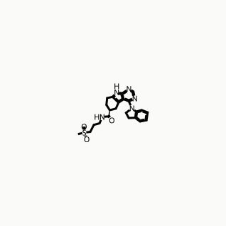 CS(=O)(=O)CCCNC(=O)[C@H]1CCc2[nH]c3ncnc(N4CCc5ccccc54)c3c2C1